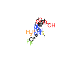 CCCSc1nc(N(P)[C@@H]2C[C@H]2c2ccc(F)c(F)c2)c2nnn([C@@H]3C[C@H](OCCO)[C@H]4OC(C)(C)O[C@H]43)c2n1